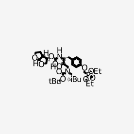 CCOP(=O)(COc1ccc(C[C@@H](NC(=O)O[C@H]2CO[C@H]3OCC[C@H]32)[C@H](O)CN(C[C@@H](C)CC)C(=O)OC(C)(C)C)cc1)OCC